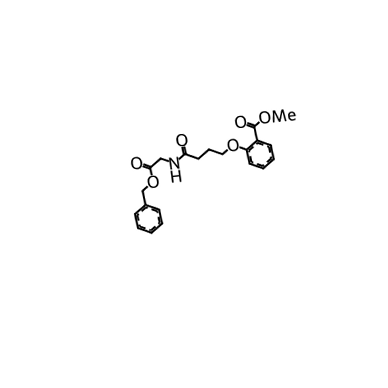 COC(=O)c1ccccc1OCCCC(=O)NCC(=O)OCc1ccccc1